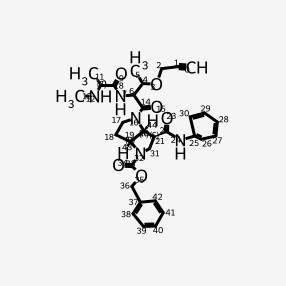 C#CCOC(C)C(NC(=O)[C@H](C)NC)C(=O)N1CC[C@@H]2[C@H]1[C@@H](C(=O)Nc1ccccc1)CN2C(=O)OCc1ccccc1